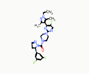 CCn1nc(C)c(-c2nc(N3CCN(C(=O)N4N=CCC4c4cc(F)cc(F)c4)CC3)ncc2F)c1C